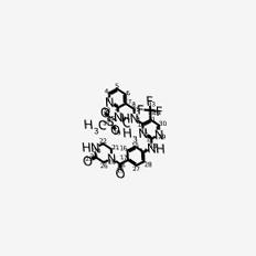 CN(c1ncccc1CNc1nc(Nc2ccc(C(=O)N3CCNC(=O)C3)cc2)ncc1C(F)(F)F)S(C)(=O)=O